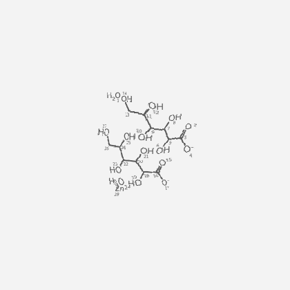 O.O.O=C([O-])C(O)C(O)C(O)C(O)CO.O=C([O-])C(O)C(O)C(O)C(O)CO.[Zn+2]